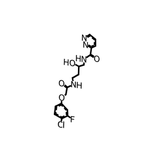 O=C(COc1ccc(Cl)c(F)c1)NCCC(O)CNC(=O)c1cccnn1